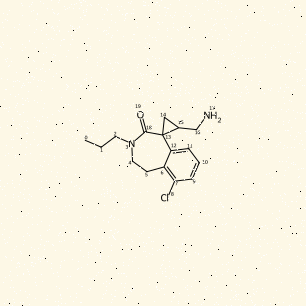 CCCN1CCc2c(Cl)cccc2C2(CC2CN)C1=O